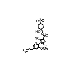 CCc1nc(C(=O)NC[C@]2(O)CC[C@@H](S(C)(=O)=O)CC2)c(C#N)n1-c1ncc(CCC(F)(F)F)cc1OC